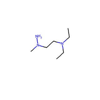 CCN(CC)CCN(C)N